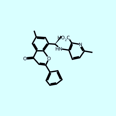 Cc1cc([C@@H](C)Nc2ccc(C)nc2C(=O)O)c2oc(-c3ccccc3)cc(=O)c2c1